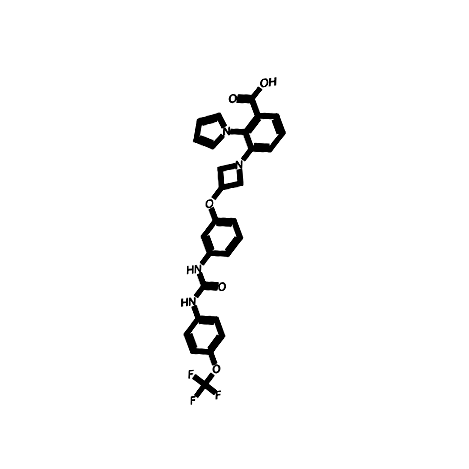 O=C(Nc1ccc(OC(F)(F)F)cc1)Nc1cccc(OC2CN(c3cccc(C(=O)O)c3-n3cccc3)C2)c1